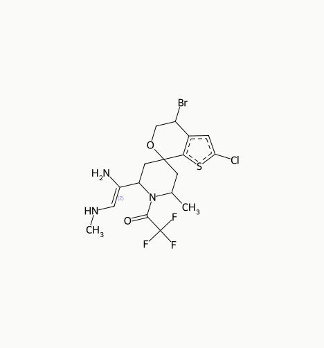 CN/C=C(\N)C1CC2(CC(C)N1C(=O)C(F)(F)F)OCC(Br)c1cc(Cl)sc12